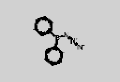 [N-]=[N+]=NB(c1ccccc1)c1ccccc1